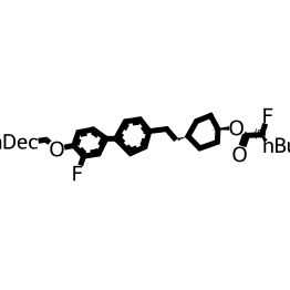 CCCCCCCCCCCOc1ccc(-c2ccc(CC[C@H]3CC[C@H](OC(=O)[C@@H](F)CCCC)CC3)cc2)cc1F